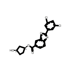 O=C(O[C@H]1CC[C@@H](O)C1)c1ccc2nc(-c3cc(Cl)cc(Cl)c3)oc2c1